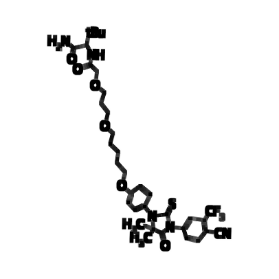 CC(C)(C)C(NC(=O)COCCCOCCCCCOc1ccc(N2C(=S)N(c3ccc(C#N)c(C(F)(F)F)c3)C(=O)C2(C)C)cc1)C(N)=O